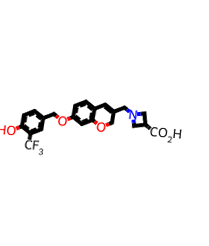 O=C(O)C1CN(CC2=Cc3ccc(OCc4ccc(O)c(C(F)(F)F)c4)cc3OC2)C1